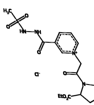 CCOC(=O)C1CSCN1C(=O)C[n+]1cccc(C(=O)NNS(C)(=O)=O)c1.[Cl-]